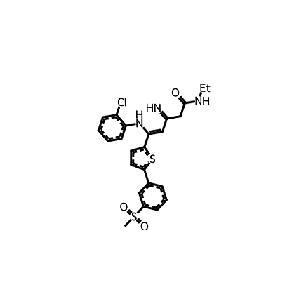 CCNC(=O)CC(=N)/C=C(\Nc1ccccc1Cl)c1ccc(-c2cccc(S(C)(=O)=O)c2)s1